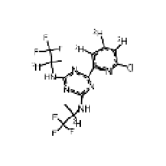 [2H]c1c(Cl)nc(-c2nc(NC([2H])(C)C(F)(F)F)nc(NC([2H])(C)C(F)(F)F)n2)c([2H])c1[2H]